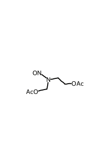 CC(=O)OCCN(COC(C)=O)N=O